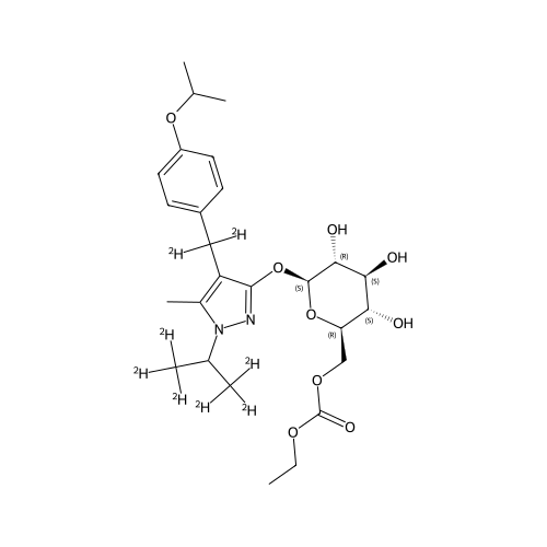 [2H]C([2H])(c1ccc(OC(C)C)cc1)c1c(O[C@@H]2O[C@H](COC(=O)OCC)[C@@H](O)[C@H](O)[C@H]2O)nn(C(C([2H])([2H])[2H])C([2H])([2H])[2H])c1C